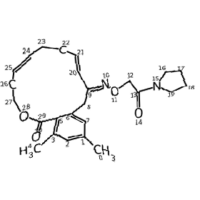 Cc1cc(C)c2c(c1)CC(=N\OCC(=O)N1CCCC1)/C=C/CC/C=C/CCOC2=O